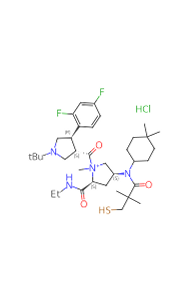 CCNC(=O)[C@@H]1C[C@H](N(C(=O)C(C)(C)CS)C2CCC(C)(C)CC2)C[N+]1(C)C(=O)[C@@H]1CN(C(C)(C)C)C[C@H]1c1ccc(F)cc1F.Cl